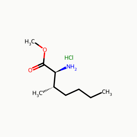 CCCC[C@H](C)[C@H](N)C(=O)OC.Cl